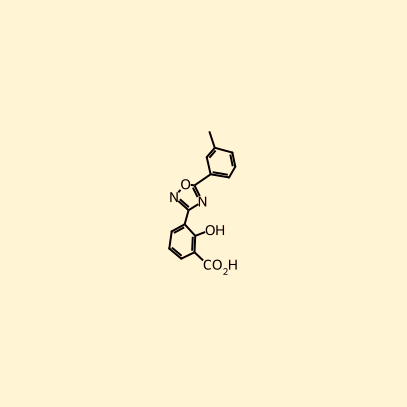 Cc1cccc(-c2nc(-c3cccc(C(=O)O)c3O)no2)c1